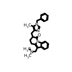 Cc1c(CC2CCc3c(CN(C)C)c4ccccc4n3C2=O)ncn1Cc1ccccc1